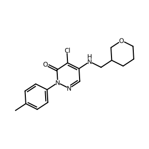 Cc1ccc(-n2ncc(NCC3CCCOC3)c(Cl)c2=O)cc1